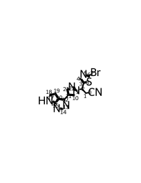 N#CCC(c1cnc(Br)s1)n1cc(-c2ncnc3[nH]ccc23)cn1